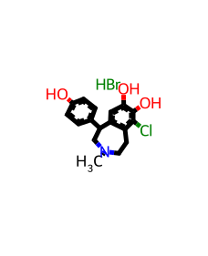 Br.CN1CCc2c(cc(O)c(O)c2Cl)C(c2ccc(O)cc2)C1